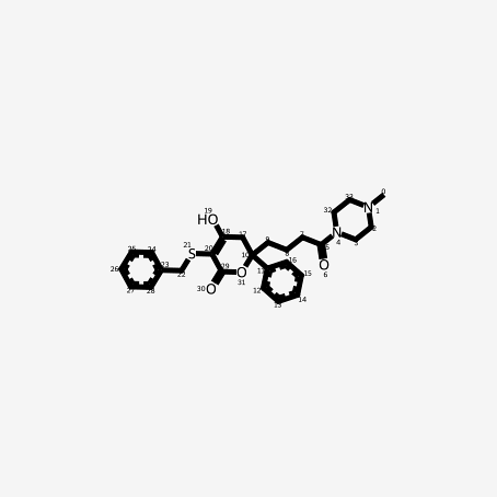 CN1CCN(C(=O)CCCC2(c3ccccc3)CC(O)=C(SCc3ccccc3)C(=O)O2)CC1